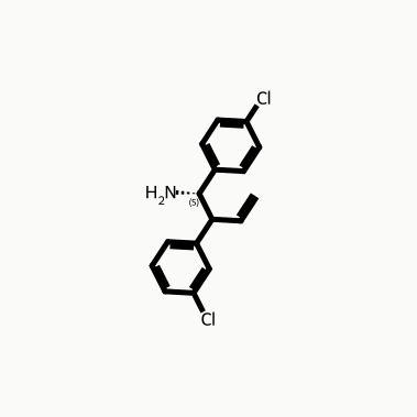 C=CC(c1cccc(Cl)c1)[C@H](N)c1ccc(Cl)cc1